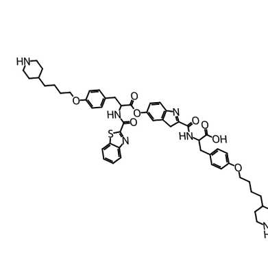 O=C(NC(Cc1ccc(OCCCCC2CCNCC2)cc1)C(=O)O)C1=Nc2ccc(OC(=O)C(Cc3ccc(OCCCCC4CCNCC4)cc3)NC(=O)c3nc4ccccc4s3)cc2C1